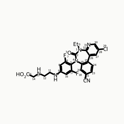 CCN1C(=O)N(c2c(F)cc(NCCNCC(=O)O)cc2F)c2cc(C#N)ccc2-c2cc(Cl)cnc21